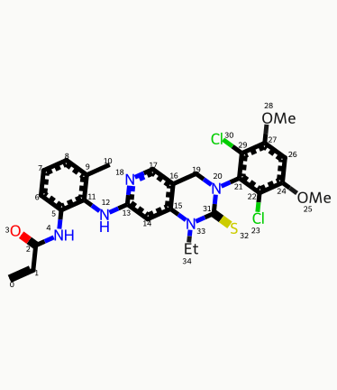 C=CC(=O)Nc1cccc(C)c1Nc1cc2c(cn1)CN(c1c(Cl)c(OC)cc(OC)c1Cl)C(=S)N2CC